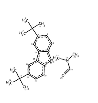 CC(C)(C)c1ccc2[nH]c3ccc(C(C)(C)C)cc3c2c1.CN(C)C=O